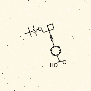 CC(C)(C)[Si](C)(C)OCC1(C#Cc2ccc(C(=O)O)cc2)CCC1